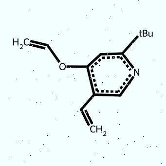 C=COc1cc(C(C)(C)C)ncc1C=C